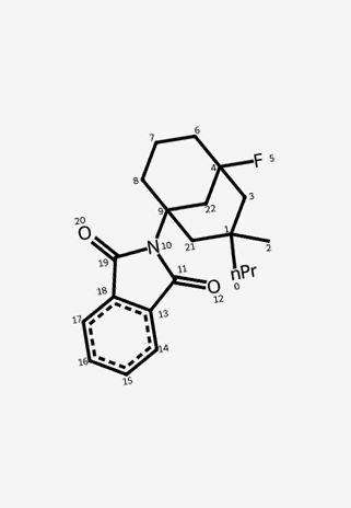 CCCC1(C)CC2(F)CCCC(N3C(=O)c4ccccc4C3=O)(C1)C2